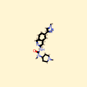 CN1CCC(N(C)C(=O)Nc2cc3cc(-c4cn(C)nn4)ccc3cn2)CC1